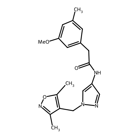 COc1cc(C)cc(CC(=O)Nc2cnn(Cc3c(C)noc3C)c2)c1